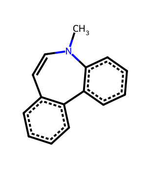 CN1C=Cc2ccccc2-c2ccccc21